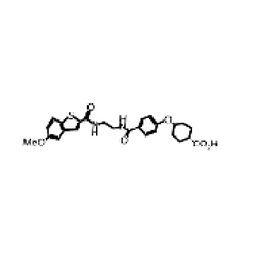 COc1ccc2sc(C(=O)NCCNC(=O)c3ccc(O[C@H]4CC[C@@H](C(=O)O)CC4)cc3)cc2c1